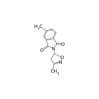 CC1=NOC(N2C(=O)c3ccc(C)cc3C2=O)C1